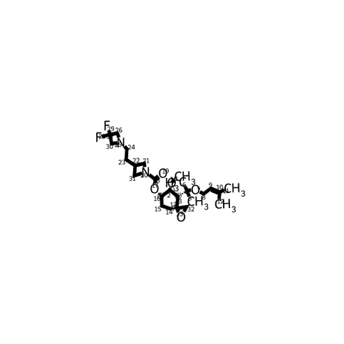 CO[C@H]1[C@H](C(C)(C)OCC=C(C)C)[C@]2(CC[C@H]1OC(=O)N1CC(CCN3CC(F)(F)C3)C1)CO2